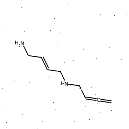 C=C=CCNC/C=C/CN